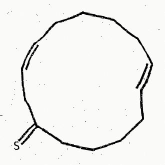 S=C1C/C=C\CCCC/C=C/CCCC1